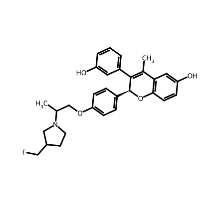 CC1=C(c2cccc(O)c2)[C@H](c2ccc(OCC(C)N3CCC(CF)C3)cc2)Oc2ccc(O)cc21